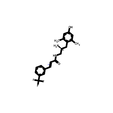 Cc1cc(O)cc(C)c1C[C@H](N)CNC(=O)/C=C/c1cccc(C(F)(F)F)c1